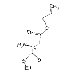 C=CCOC(=O)C[C@H](N)C(=O)SCC